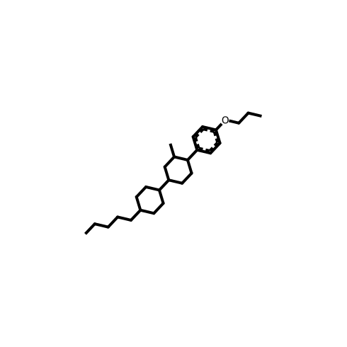 CCCCCC1CCC(C2CCC(c3ccc(OCCC)cc3)C(C)C2)CC1